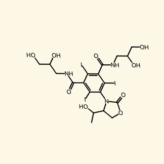 CC(O)C1COC(=O)N1c1c(I)c(C(=O)NCC(O)CO)c(I)c(C(=O)NCC(O)CO)c1I